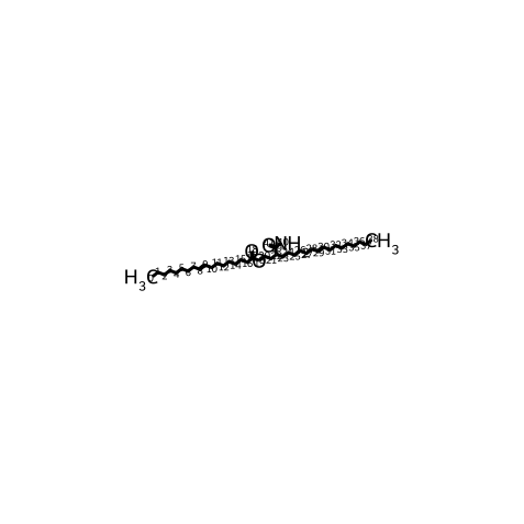 CCCCCCCCC=CCCCCCCCC(=O)OCCC(CCCCCCC=CCCCCCCCC)C(N)=O